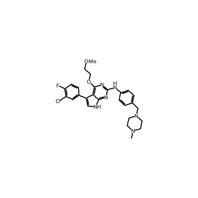 COCCOc1nc(Nc2ccc(CN3CCN(C)CC3)cc2)nc2[nH]cc(-c3ccc(F)c(Cl)c3)c12